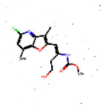 CSc1cc(Cl)nc2c(C)c(/C=C(\CCO)NC(=O)OC(C)(C)C)oc12